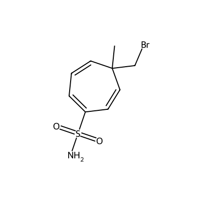 CC1(CBr)C=CC=C(S(N)(=O)=O)C=C1